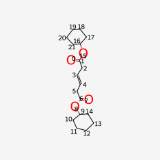 O=C(CC=CCC(=O)OC1CCCCC1)OC1CCCCC1